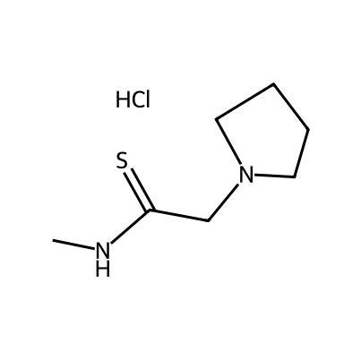 CNC(=S)CN1CCCC1.Cl